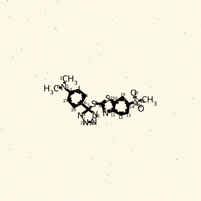 CN(C)c1ccc(C2(Sc3nc4ccc(S(C)(=O)=O)cc4s3)N=NN=N2)cc1